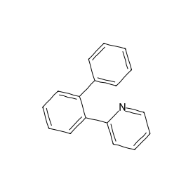 c1ccc(-c2ccccc2-c2ccccn2)cc1